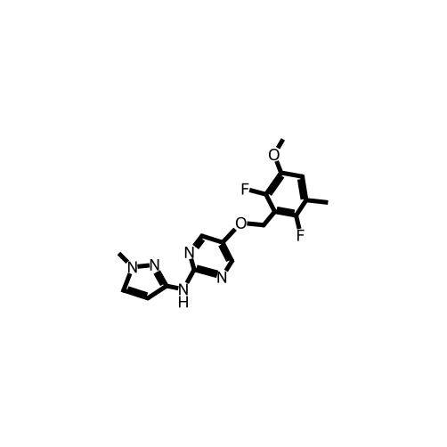 COc1cc(C)c(F)c(COc2cnc(Nc3ccn(C)n3)nc2)c1F